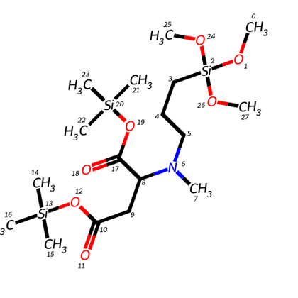 CO[Si](CCCN(C)C(CC(=O)O[Si](C)(C)C)C(=O)O[Si](C)(C)C)(OC)OC